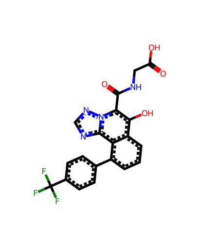 O=C(O)CNC(=O)c1c(O)c2cccc(-c3ccc(C(F)(F)F)cc3)c2c2ncnn12